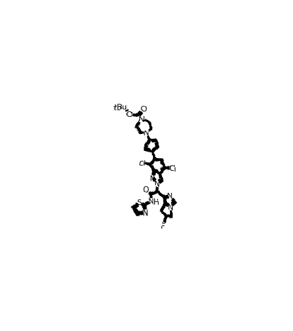 CC(C)(C)OC(=O)N1CCN(c2ccc(-c3cc(Cl)c4cn(C(C(=O)Nc5nccs5)c5ncn6c5CC(F)C6)nc4c3Cl)cc2)CC1